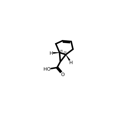 O=C(O)C1[C@H]2CC=CC[C@@H]12